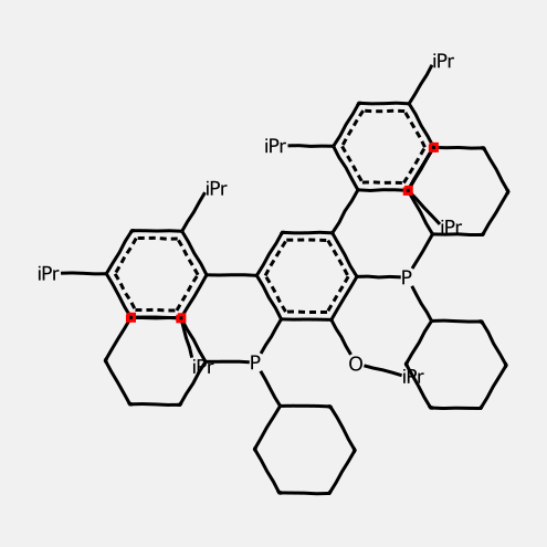 CC(C)Oc1c(P(C2CCCCC2)C2CCCCC2)c(-c2c(C(C)C)cc(C(C)C)cc2C(C)C)cc(-c2c(C(C)C)cc(C(C)C)cc2C(C)C)c1P(C1CCCCC1)C1CCCCC1